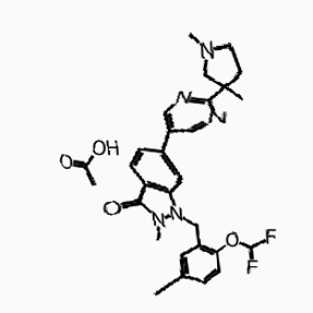 CC(=O)O.Cc1ccc(OC(F)F)c(Cn2c3cc(-c4cnc(C5(C)CCN(C)C5)nc4)ccc3c(=O)n2C)c1